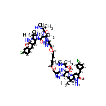 CN[C@@H](C)C(=O)N[C@H](C(=O)N1CC(C)(C)c2[nH]c(=O)c(Cc3ccc(F)cc3)cc21)[C@H](C)n1cc(COCC#CC#CCOCc2cn([C@@H](C)[C@H](NC(=O)[C@H](C)NC)C(=O)N3CC(C)(C)c4[nH]c(=O)c(Cc5ccc(F)cc5)cc43)nn2)nn1